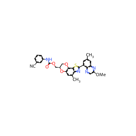 COc1cnc2c(-c3nc4c(C)cc5c(c4s3)OC[C@H](COC(=O)Nc3cccc(C#N)c3)O5)cc(C)cc2n1